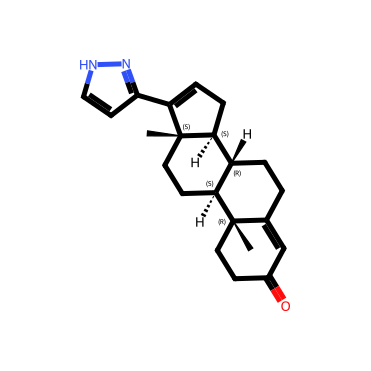 C[C@]12CCC(=O)C=C1CC[C@@H]1[C@@H]2CC[C@]2(C)C(c3cc[nH]n3)=CC[C@@H]12